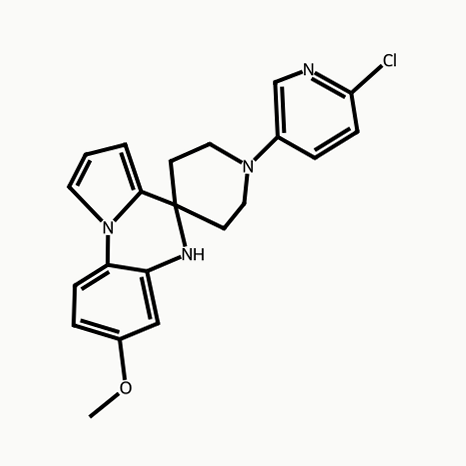 COc1ccc2c(c1)NC1(CCN(c3ccc(Cl)nc3)CC1)c1cccn1-2